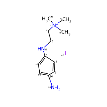 C[N+](C)(C)CCNc1ccc(N)cc1.[I-]